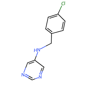 Clc1ccc(CNc2cncnc2)cc1